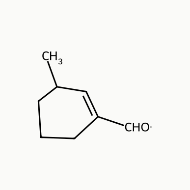 CC1C=C([C]=O)CCC1